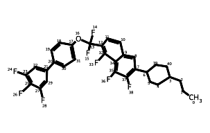 CCCC1CCC(c2cc3ccc(C(F)(F)Oc4ccc(-c5cc(F)c(F)c(F)c5)cc4)c(F)c3c(F)c2F)CC1